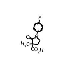 CC1(C(=O)O)CCN(c2ccc(F)cc2)C1=O